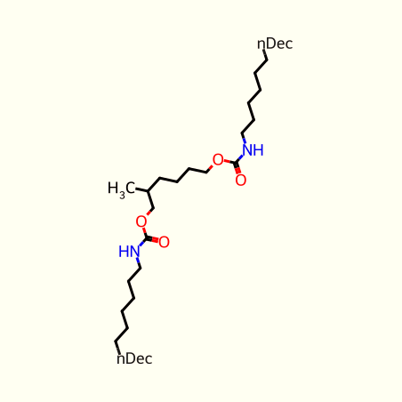 CCCCCCCCCCCCCCCCNC(=O)OCCCCC(C)COC(=O)NCCCCCCCCCCCCCCCC